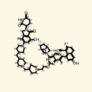 C#Cc1c(F)ccc2cc(O)cc(-c3ncc4c(N5CC6CCC(C5)N6)nc(OCCN5CCC(CN6CCC(CC7CCN(c8cc(C)c9c(c8F)CN(C8CCC(=O)NC8=O)C9=O)CC7)CC6)CC5)nc4c3F)c12